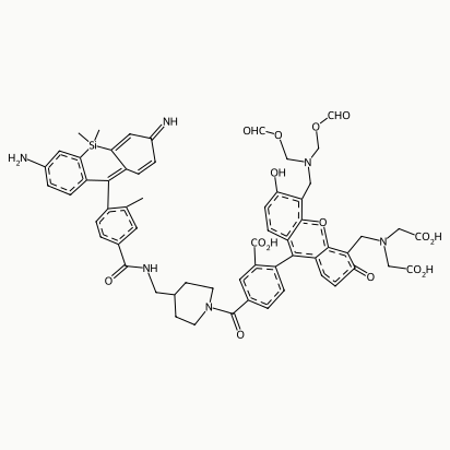 Cc1cc(C(=O)NCC2CCN(C(=O)c3ccc(-c4c5ccc(=O)c(CN(CC(=O)O)CC(=O)O)c-5oc5c(CN(COC=O)COC=O)c(O)ccc45)c(C(=O)O)c3)CC2)ccc1C1=C2C=CC(=N)C=C2[Si](C)(C)c2cc(N)ccc21